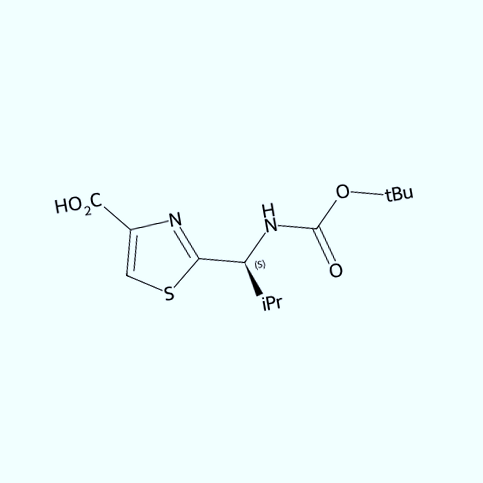 CC(C)[C@H](NC(=O)OC(C)(C)C)c1nc(C(=O)O)cs1